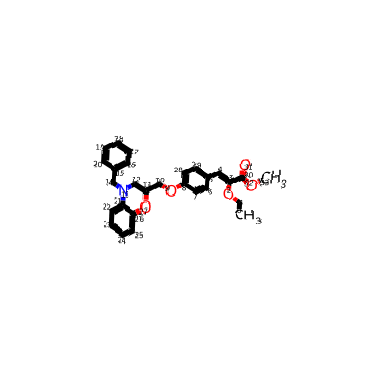 CCO/C(=C\c1ccc(OCC2CN(Cc3ccccc3)c3ccccc3O2)cc1)C(=O)OC